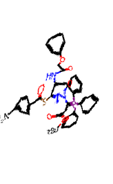 CC(C)(C)OC(=O)C(N1C(=O)[C@H](NC(=O)COc2ccccc2)[C@@H]1SC(=O)c1ccc([N+](=O)[O-])cc1)=P(c1ccccc1)(c1ccccc1)c1ccccc1